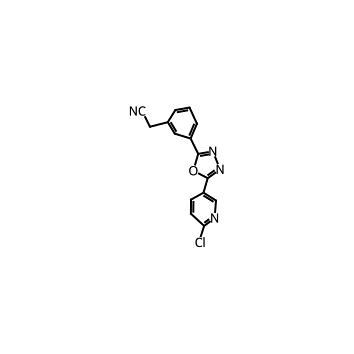 N#CCc1cccc(-c2nnc(-c3ccc(Cl)nc3)o2)c1